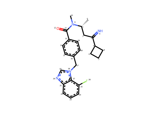 C[C@H](CC(=N)C1CCC1)N(C)C(=O)c1ccc(Cn2cnc3cccc(F)c32)cc1